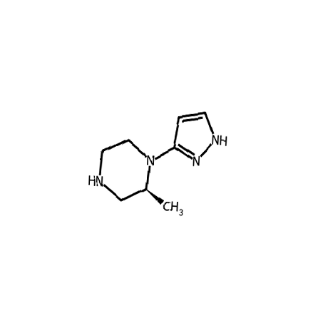 C[C@H]1CNCCN1c1cc[nH]n1